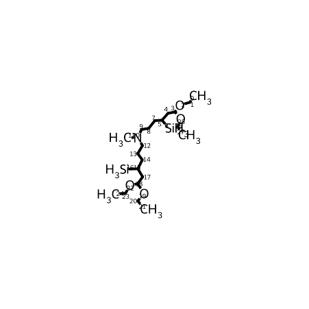 CCOC(CC([SiH3])CCCN(C)CCCC([SiH3])CC(OCC)OCC)OCC